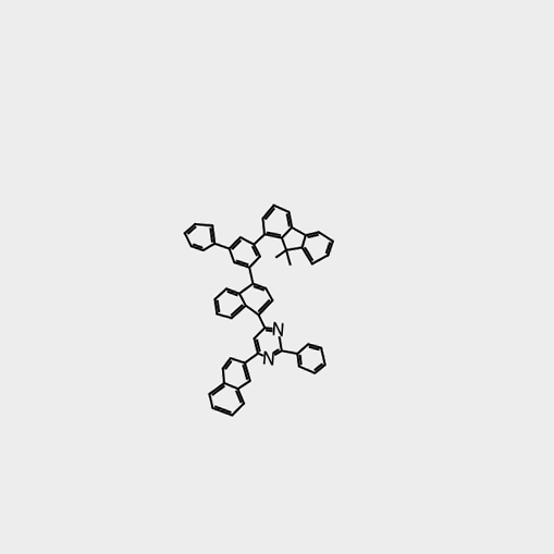 CC1(C)c2ccccc2-c2cccc(-c3cc(-c4ccccc4)cc(-c4ccc(-c5cc(-c6ccc7ccccc7c6)nc(-c6ccccc6)n5)c5ccccc45)c3)c21